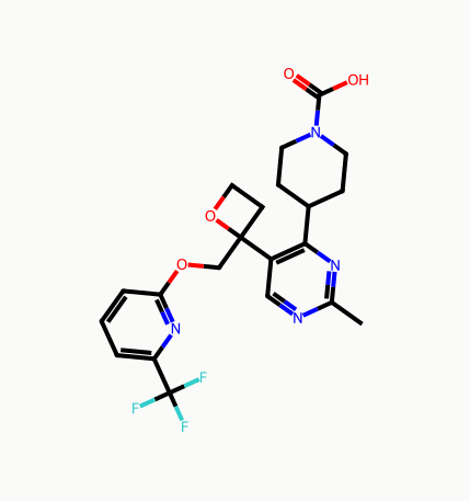 Cc1ncc(C2(COc3cccc(C(F)(F)F)n3)CCO2)c(C2CCN(C(=O)O)CC2)n1